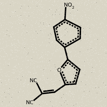 N#CC(C#N)=Cc1ccc(-c2ccc([N+](=O)[O-])cc2)o1